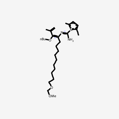 C=C(C)/C(OCCCC)=C(CCCCCCCCCCOCOC)\N=C(/N)n1c(C)ccc1C